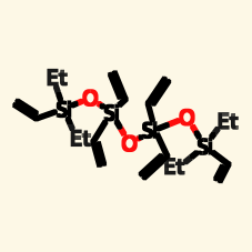 C=C[Si](CC)(CC)O[Si](C=C)(C=C)O[Si](C=C)(C=C)O[Si](C=C)(CC)CC